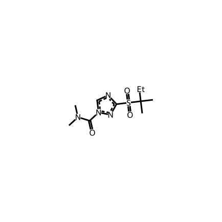 CCC(C)(C)S(=O)(=O)c1ncn(C(=O)N(C)C)n1